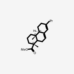 COC(=O)[C@]1(C)CCC[C@@]2(C)C1CC=C1C=C(C(C)C)CC[C@@H]12